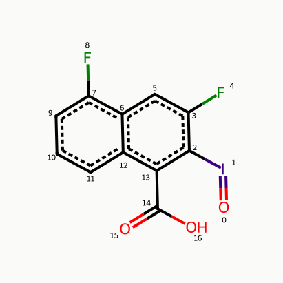 O=Ic1c(F)cc2c(F)cccc2c1C(=O)O